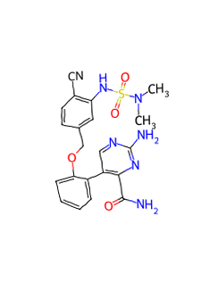 CN(C)S(=O)(=O)Nc1cc(COc2ccccc2-c2cnc(N)nc2C(N)=O)ccc1C#N